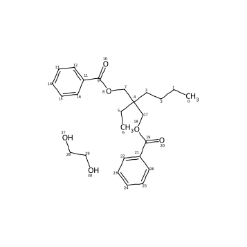 CCCCC(CC)(COC(=O)c1ccccc1)COC(=O)c1ccccc1.OCCO